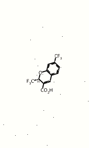 O=C(O)C1=Cc2ccc(C(F)(F)F)cc2O[C@@H]1C(F)(F)F